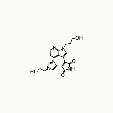 O=C1NC(=O)C(c2cn(CCCO)c3ncccc23)=C1c1cn(CCO)cn1